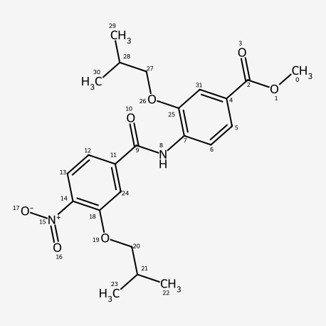 COC(=O)c1ccc(NC(=O)c2ccc([N+](=O)[O-])c(OCC(C)C)c2)c(OCC(C)C)c1